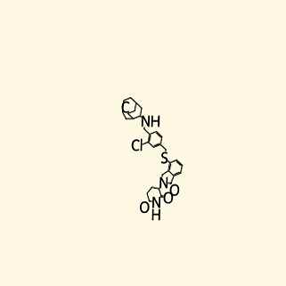 O=C1CCC(N2Cc3c(SCc4ccc(CNC5CC6CC7CCC5C(C7)C6)c(Cl)c4)cccc3C2=O)C(=O)N1